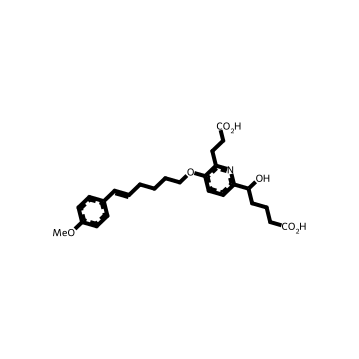 COc1ccc(C=CCCCCOc2ccc(C(O)CCCC(=O)O)nc2CCC(=O)O)cc1